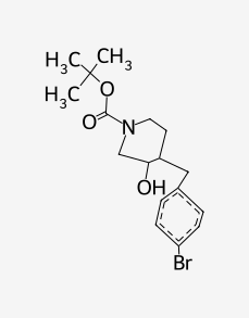 CC(C)(C)OC(=O)N1CCC(Cc2ccc(Br)cc2)C(O)C1